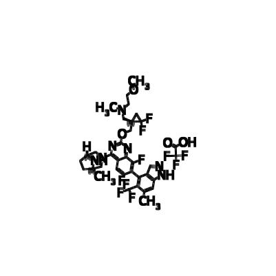 COCCN(C)C[C@@]1(COc2nc(N3C[C@H]4CC[C@@](C)(C3)N4)c3cc(F)c(-c4c(C(F)(F)F)c(C)cc5[nH]ncc45)c(F)c3n2)CC1(F)F.O=C(O)C(F)(F)F